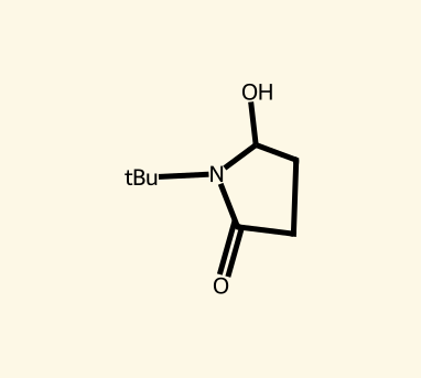 CC(C)(C)N1C(=O)CCC1O